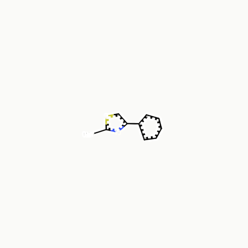 [SnH][c]1nc(-c2ccccc2)cs1